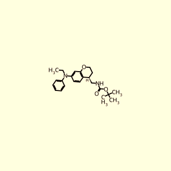 CCN(c1ccccc1)c1ccc2c(c1)OCC[C@H]2CNC(=O)OC(C)(C)C